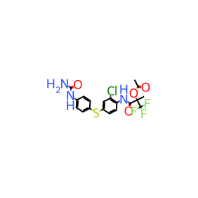 CC(=O)OC(C)(C(=O)Nc1ccc(Sc2ccc(NC(N)=O)cc2)cc1Cl)C(F)(F)F